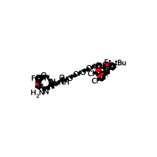 CCOc1cc(C(C)(C)C)ccc1C1=C[C@@](C)(c2ccc(Cl)cc2)[C@@H](c2ccc(Cl)cc2)N1C(=O)N1CCN(CCOCCOCCOCCOCCC(=O)NCCn2nc3c(c2C)-c2cnc(N)c(c2)N2CCC[C@@H]2c2cc(F)ccc2C(=O)N(C)C3)CC1